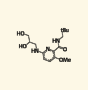 COc1ccc(NCC(O)CO)nc1C(=O)NCC(C)(C)C